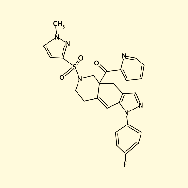 Cn1ccc(S(=O)(=O)N2CCC3=Cc4c(cnn4-c4ccc(F)cc4)CC3(C(=O)c3ccccn3)C2)n1